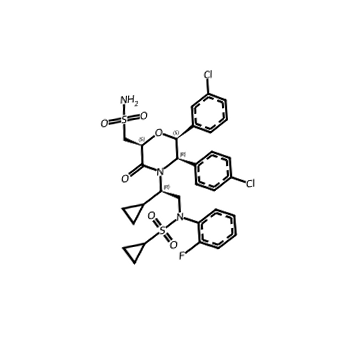 NS(=O)(=O)C[C@H]1O[C@@H](c2cccc(Cl)c2)[C@@H](c2ccc(Cl)cc2)N([C@@H](CN(c2ccccc2F)S(=O)(=O)C2CC2)C2CC2)C1=O